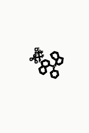 O=S(=O)([O-])C(F)(F)C(F)(F)C(F)(F)F.c1ccc([S+](c2cccc3ccccc23)c2cccc3ccccc23)cc1